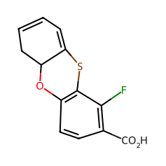 O=C(O)c1ccc2c(c1F)SC1=CC=CCC1O2